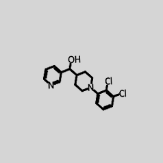 OC(c1cccnc1)C1CCN(c2cccc(Cl)c2Cl)CC1